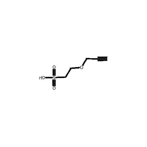 C#CCOCCS(=O)(=O)O